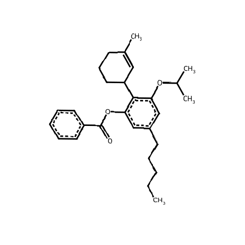 CCCCCc1cc(OC(=O)c2ccccc2)c(C2C=C(C)CCC2)c(OC(C)C)c1